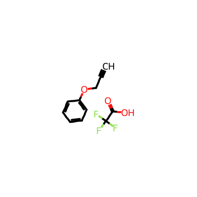 C#CCOc1ccccc1.O=C(O)C(F)(F)F